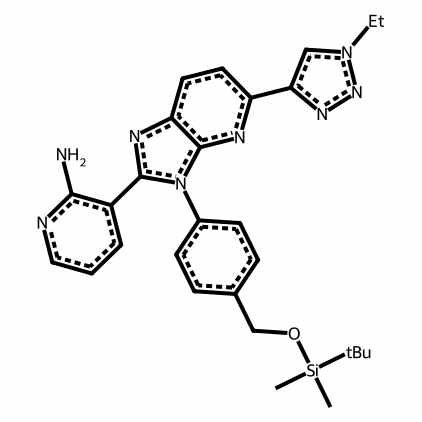 CCn1cc(-c2ccc3nc(-c4cccnc4N)n(-c4ccc(CO[Si](C)(C)C(C)(C)C)cc4)c3n2)nn1